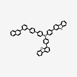 c1cc(-c2ccc(-c3ccc(N(c4ccc(-c5ccc6c(c5)sc5ccccc56)cc4)c4ccc(-c5cccc6c5oc5ccccc56)cc4)cc3)cc2)cc(-c2ccc3ccccc3c2)c1